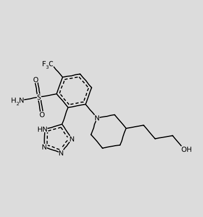 NS(=O)(=O)c1c(C(F)(F)F)ccc(N2CCCC(CCCO)C2)c1-c1nnn[nH]1